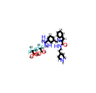 C[n+]1ccc(CCNC(=O)c2cc3ccccc3n2Cc2cccc(C(=N)N)c2)cc1.O=C(O)C(F)(F)F.O=C([O-])C(F)(F)F